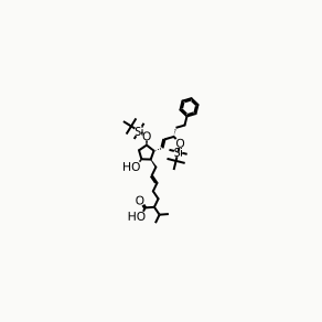 CC(C)C(CCC=CC[C@@H]1[C@@H](C=C[C@H](CCc2ccccc2)O[Si](C)(C)C(C)(C)C)[C@H](O[Si](C)(C)C(C)(C)C)C[C@@H]1O)C(=O)O